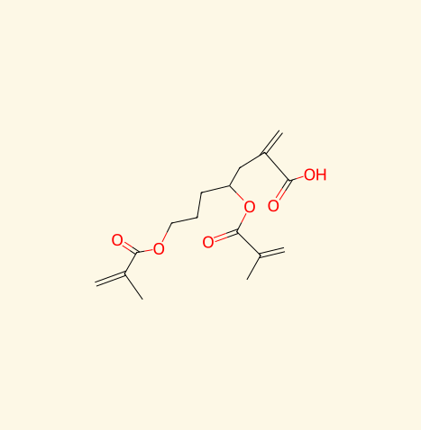 C=C(C)C(=O)OCCCC(CC(=C)C(=O)O)OC(=O)C(=C)C